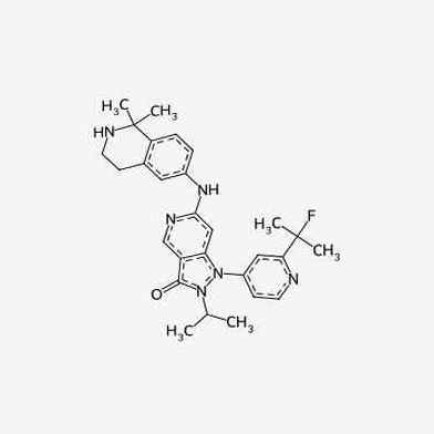 CC(C)n1c(=O)c2cnc(Nc3ccc4c(c3)CCNC4(C)C)cc2n1-c1ccnc(C(C)(C)F)c1